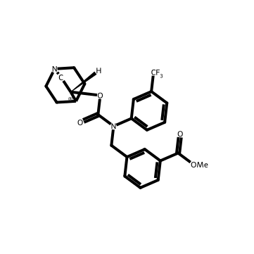 COC(=O)c1cccc(CN(C(=O)O[C@H]2CN3CCC2CC3)c2cccc(C(F)(F)F)c2)c1